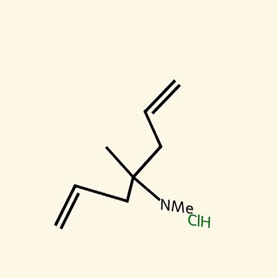 C=CCC(C)(CC=C)NC.Cl